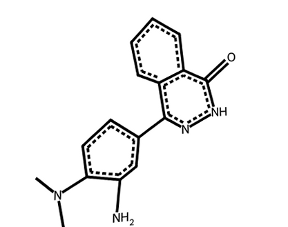 CN(C)c1ccc(-c2n[nH]c(=O)c3ccccc23)cc1N